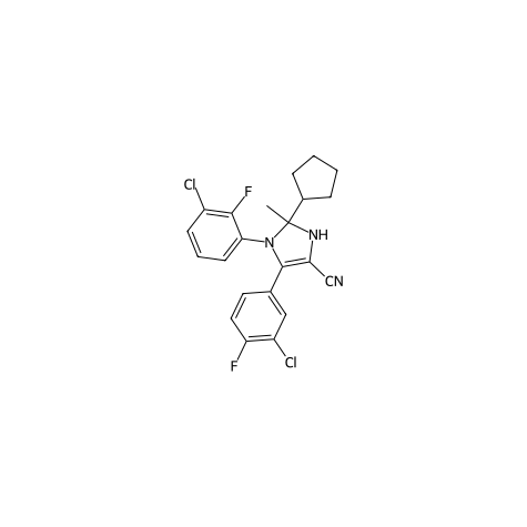 CC1(C2CCCC2)NC(C#N)=C(c2ccc(F)c(Cl)c2)N1c1cccc(Cl)c1F